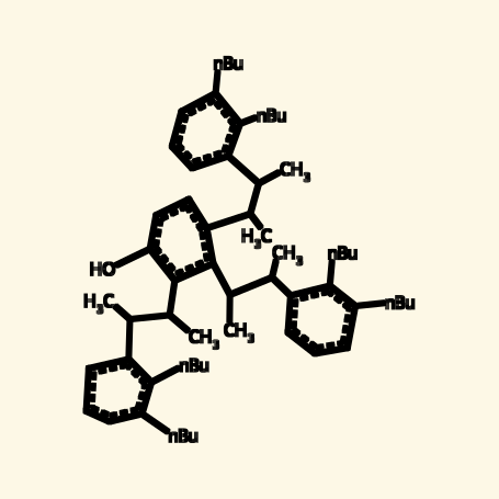 CCCCc1cccc(C(C)C(C)c2ccc(O)c(C(C)C(C)c3cccc(CCCC)c3CCCC)c2C(C)C(C)c2cccc(CCCC)c2CCCC)c1CCCC